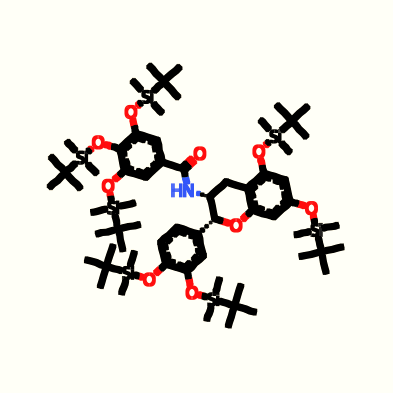 CC(C)(C)[Si](C)(C)Oc1cc2c(c(O[Si](C)(C)C(C)(C)C)c1)C[C@@H](NC(=O)c1cc(O[Si](C)(C)C(C)(C)C)c(O[Si](C)(C)C(C)(C)C)c(O[Si](C)(C)C(C)(C)C)c1)[C@@H](c1ccc(O[Si](C)(C)C(C)(C)C)c(O[Si](C)(C)C(C)(C)C)c1)O2